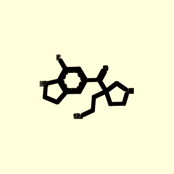 CC(C)(C)CCC1(C(=O)c2cc(F)c3c(c2)CCN3)CCNC1